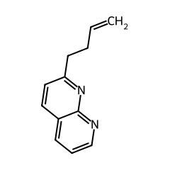 C=CCCc1ccc2cccnc2n1